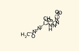 C=CC(=O)N1CC(N2CC(c3cc(C)c4c(c3)Nc3ncnc(N5CCS(=O)(=O)CC5)c3CO4)C2)C1